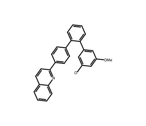 COc1cc(Cl)cc(-c2ccccc2-c2ccc(-c3ccc4ccccc4n3)cc2)c1